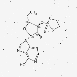 CC[C@H]1O[C@@H](n2cnc3c(O)ncnc32)[C@H](F)[C@@H]1OP1(=S)SCCS1